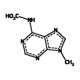 Cn1cnc2c(NC(=O)O)ncnc21